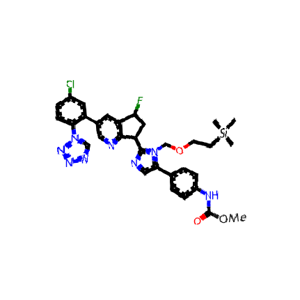 COC(=O)Nc1ccc(-c2cnc(C3CC(F)c4cc(-c5cc(Cl)ccc5-n5cnnn5)cnc43)n2COCC[Si](C)(C)C)cc1